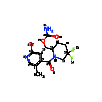 Cc1cnc(Br)cc1C(=O)N1CC(F)(F)CCC1COC(N)=O